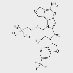 CCN(C(=O)c1cc2nc(N)c3c(c2n1COCC[Si](C)(C)C)COC3)[C@@H]1COc2cc(C(F)(F)F)ccc21